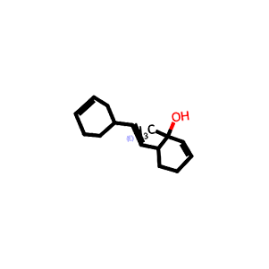 CC1(O)C=CCCC1/C=C/C1CC=CCC1